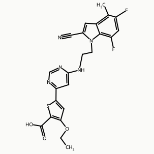 CCOc1cc(-c2cc(NCCn3c(C#N)cc4c(C)c(F)cc(F)c43)ncn2)sc1C(=O)O